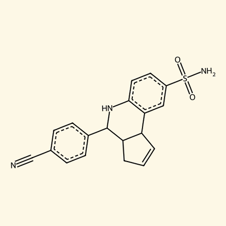 N#Cc1ccc(C2Nc3ccc(S(N)(=O)=O)cc3C3C=CCC32)cc1